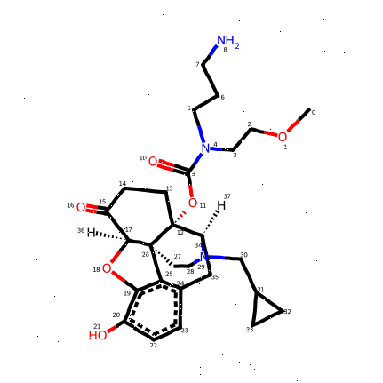 COCCN(CCCN)C(=O)O[C@@]12CCC(=O)[C@@H]3Oc4c(O)ccc5c4[C@@]31CCN(CC1CC1)[C@@H]2C5